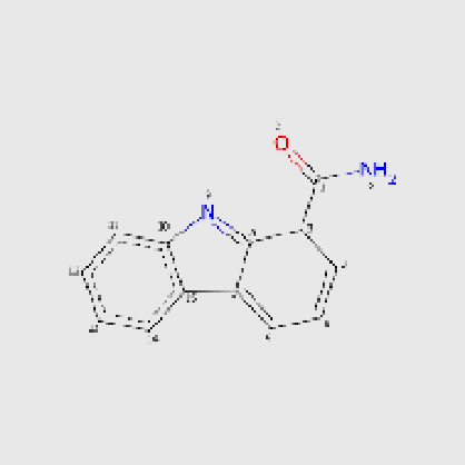 NC(=O)C1C=CC=C2C1=Nc1ccccc12